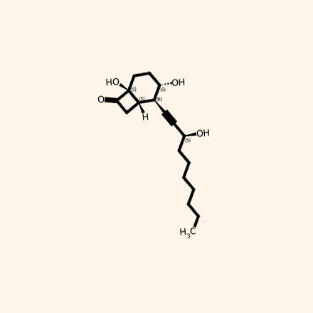 CCCCCCC[C@H](O)C#C[C@@H]1[C@@H](O)CC[C@@]2(O)C(=O)C[C@@H]12